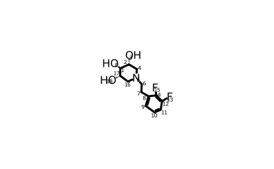 O[C@H]1[C@H](O)CN(CCc2cccc(F)c2F)C[C@@H]1O